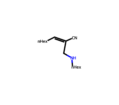 CCCCCC/C=C(/C#N)CNCCCCCC